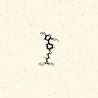 Cc1sc(O)cc1-c1ccc(OCCCN(C)C)cc1